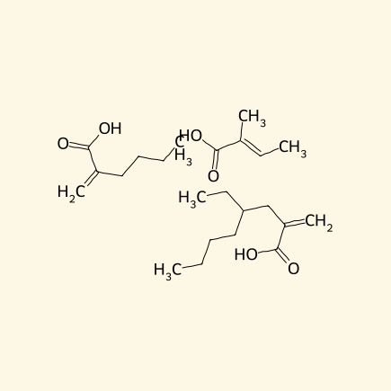 C/C=C(\C)C(=O)O.C=C(CC(CC)CCCC)C(=O)O.C=C(CCCC)C(=O)O